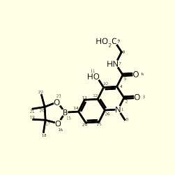 Cn1c(=O)c(C(=O)NCC(=O)O)c(O)c2cc(B3OC(C)(C)C(C)(C)O3)ccc21